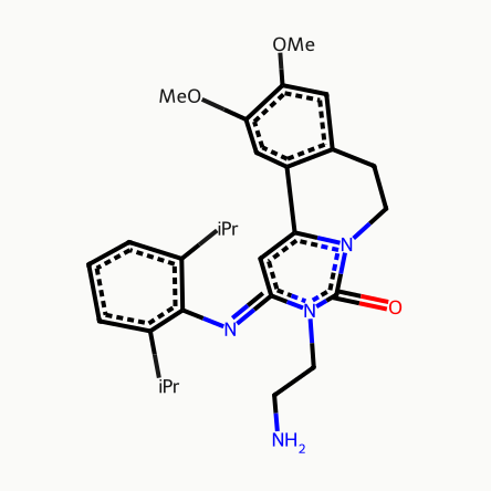 COc1cc2c(cc1OC)-c1c/c(=N\c3c(C(C)C)cccc3C(C)C)n(CCN)c(=O)n1CC2